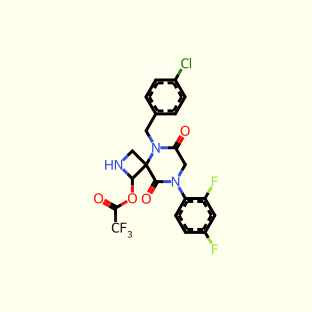 O=C1CN(c2ccc(F)cc2F)C(=O)C2(CNC2OC(=O)C(F)(F)F)N1Cc1ccc(Cl)cc1